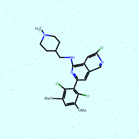 COc1cc(OC)c(Cl)c(-c2cc3cnc(Cl)cc3c(NCC3CCN(C)CC3)n2)c1Cl